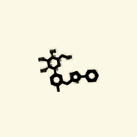 Cc1ccc([C@@H]2O[C@H](CO)[C@@H](O)[C@H](O)[C@H]2O)cc1Cc1ncc(-c2ccccc2)s1